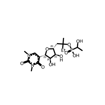 CCC(C)(C[C@H]1O[C@@H](c2cn(C)c(=O)n(C)c2=O)[C@H](O)[C@@H]1O)OP(=O)(O)C(C)O